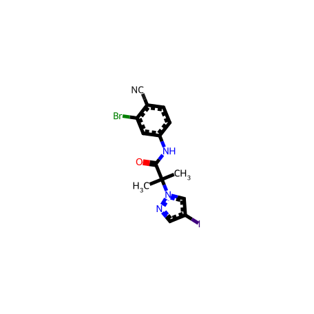 CC(C)(C(=O)Nc1ccc(C#N)c(Br)c1)n1cc(I)cn1